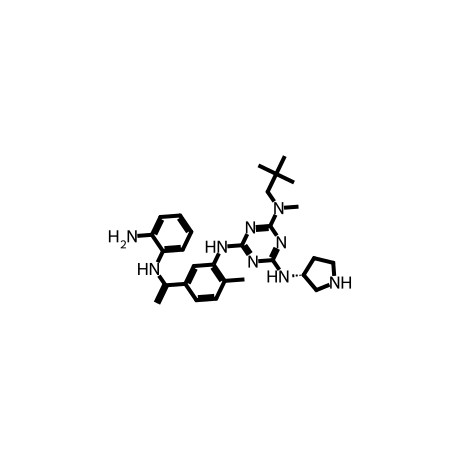 C=C(Nc1ccccc1N)c1ccc(C)c(Nc2nc(N[C@@H]3CCNC3)nc(N(C)CC(C)(C)C)n2)c1